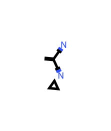 C1CC1.C=C(C#N)C#N